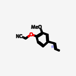 C/C=C/c1ccc(OCC#N)c(OC)c1